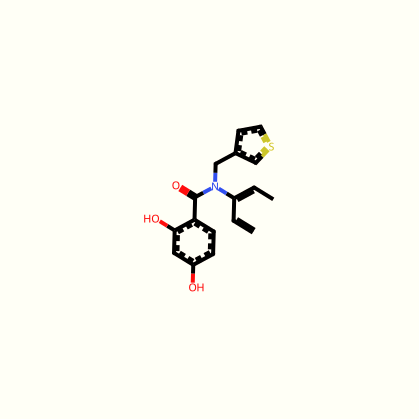 C=C/C(=C\C)N(Cc1ccsc1)C(=O)c1ccc(O)cc1O